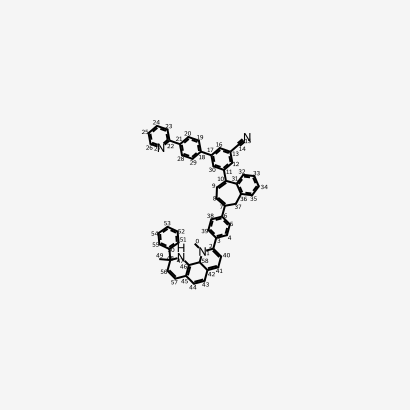 CN1C(c2ccc(C3=CC=C(c4cc(C#N)cc(-c5ccc(-c6ccccn6)cc5)c4)c4ccccc4C3)cc2)=CC=C2C=CC3=C(NC(C)(c4ccccc4)C=C3)C21